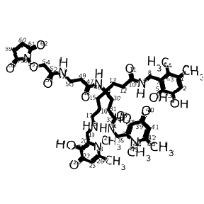 CC1=CC(O)C(O)=C(CNC(=O)CCC(CCCNCc2c(O)c(=O)cc(C)n2C)(CCC(=O)NCc2c(O)c(=O)cc(C)n2C)NC(=O)CCNC(=O)CON2C(=O)C=CC2=O)C1C